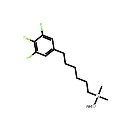 CO[Si](C)(C)CCCCCCc1cc(F)c(F)c(F)c1